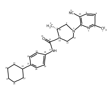 C[C@@H]1CN(c2nc(C(F)(F)F)ccc2C#N)CCN1C(=O)Nc1ccc(C2CCCCC2)cc1